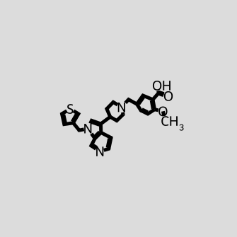 COc1ccc(CN2CCC(c3cn(Cc4ccsc4)c4cnccc34)CC2)cc1C(=O)O